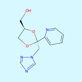 OC[C@@H]1CO[C@](Cn2cncn2)(c2ccccn2)O1